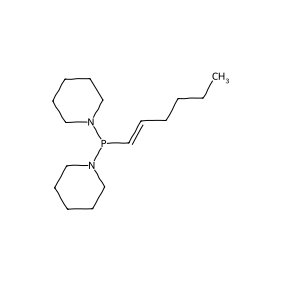 CCCCC=CP(N1CCCCC1)N1CCCCC1